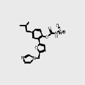 CC(C)Cc1ccc(OC(=O)N[SH](=O)=O)c(-c2ccc(Cn3ccnc3)o2)c1